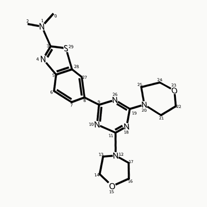 CN(C)c1nc2ccc(-c3nc(N4CCOCC4)nc(N4CCOCC4)n3)cc2s1